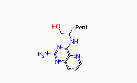 CCCCCC(CO)Nc1nc(N)nc2cccnc12